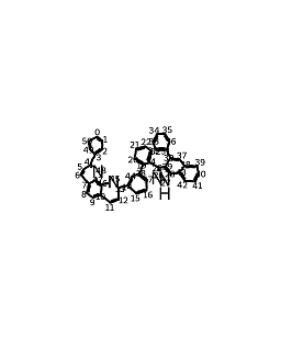 c1ccc(-c2ccc3ccc4ccc(-c5cccc(-c6ccccc6-c6n[nH]c7c6c(-c6ccccc6)cc6ccccc67)c5)nc4c3n2)cc1